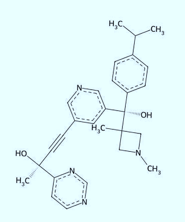 CC(C)c1ccc([C@](O)(c2cncc(C#C[C@](C)(O)c3ccncn3)c2)C2(C)CN(C)C2)cc1